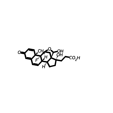 C[C@]12C=CC(=O)C=C1C=C[C@H]1[C@@H]3CC[C@](O)(CCC(=O)O)[C@@]34CC(OC4O)[C@@]12F